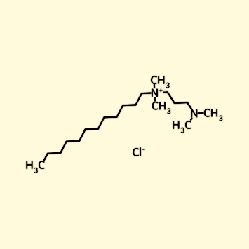 CCCCCCCCCCCC[N+](C)(C)CCCN(C)C.[Cl-]